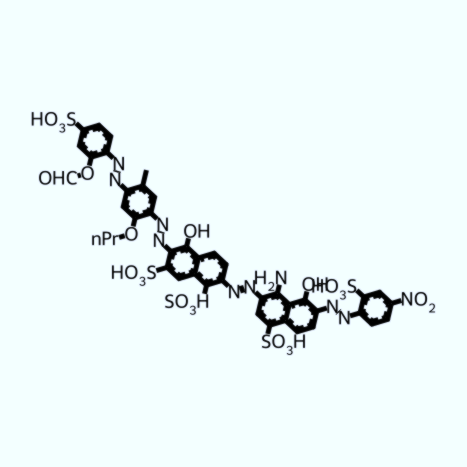 CCCOc1cc(N=Nc2ccc(S(=O)(=O)O)cc2OC=O)c(C)cc1N=Nc1c(S(=O)(=O)O)cc2c(S(=O)(=O)O)c(N=Nc3cc(S(=O)(=O)O)c4ccc(N=Nc5ccc([N+](=O)[O-])cc5S(=O)(=O)O)c(O)c4c3N)ccc2c1O